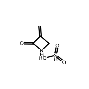 C=C1CNC1=O.O=[SH](=O)O